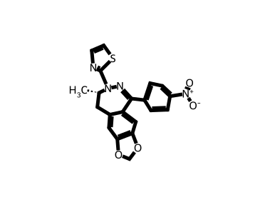 C[C@H]1Cc2cc3c(cc2C(c2ccc([N+](=O)[O-])cc2)=NN1c1nccs1)OCO3